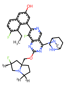 [2H]C1([2H])CC[C@@]2(COc3nc(N4CC5CCC4CN5)c4cnc(-c5cc(O)cc6ccc(F)c(CC)c56)c(F)c4n3)C[C@@]([2H])(F)CN12